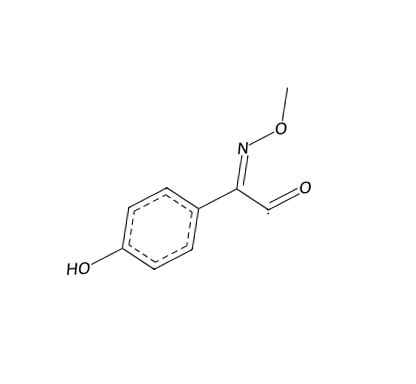 CON=C([C]=O)c1ccc(O)cc1